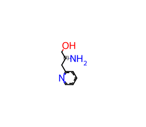 N[C@@H](CO)Cc1ccccn1